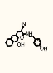 N#CC(=Cc1cc(O)c2c(c1)CCCC2)C(=O)NCCc1ccc(O)cc1